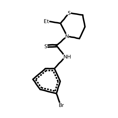 CCC1SCCCN1C(=S)Nc1cccc(Br)c1